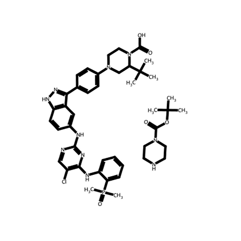 CC(C)(C)C1CN(c2ccc(-c3n[nH]c4ccc(Nc5ncc(Cl)c(Nc6ccccc6P(C)(C)=O)n5)cc34)cc2)CCN1C(=O)O.CC(C)(C)OC(=O)N1CCNCC1